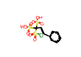 O=S(=O)(O)C(C=Cc1ccccc1)(S(=O)(=O)O)S(=O)(=O)Cl